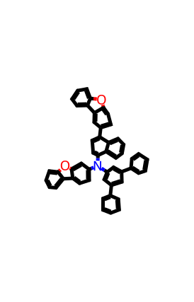 c1ccc(-c2cc(-c3ccccc3)cc(N(c3ccc4c(c3)oc3ccccc34)c3ccc(-c4ccc5oc6ccccc6c5c4)c4ccccc34)c2)cc1